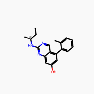 CC[C@H](C)Nc1ncc2c(-c3ccccc3C)cc(O)cc2n1